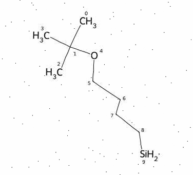 CC(C)(C)OCCCC[SiH2]